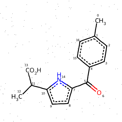 Cc1ccc(C(=O)c2ccc(C(C)C(=O)O)[nH]2)cc1